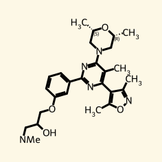 CNCC(O)COc1cccc(-c2nc(-c3c(C)noc3C)c(C)c(N3C[C@@H](C)O[C@@H](C)C3)n2)c1